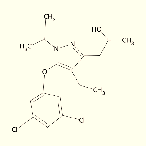 CCc1c(CC(C)O)nn(C(C)C)c1Oc1cc(Cl)cc(Cl)c1